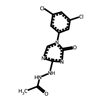 CC(=O)NNc1ncn(-c2cc(Cl)cc(Cl)c2)c(=O)n1